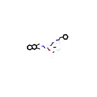 CC(C)C[C@H](N[C@H](CCN1C(=O)c2cc3ccccc3cc2C1=O)C(=O)OC(C)(C)C)C(=O)NCC(O)Cc1ccccc1